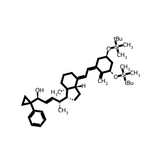 C=C1/C(=C\C=C2/CCC[C@]3(C)[C@@H]([C@H](C)/C=C/[C@H](O)C4(c5ccccc5)CC4)CC[C@@H]23)C[C@@H](O[Si](C)(C)C(C)(C)C)C[C@@H]1O[Si](C)(C)C(C)(C)C